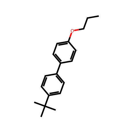 CCCOc1[c]cc(-c2ccc(C(C)(C)C)cc2)cc1